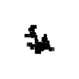 CP(=O)(O)c1cc(N(CC(=O)O)CC(=O)O)c(OCCOCCN(CC(=O)O)CC(=O)O)cc1-c1c2ccc(=O)cc-2oc2cc(O)ccc12